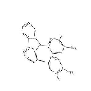 Cc1cc(-c2cccc3c2C(c2ccc(N)c(C)c2)c2ccccc2-3)ccc1N